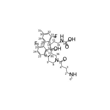 CNCCCC(=O)N1CCC[C@@H]([C@@](O)(CCCNC(=O)O)c2cccc(F)c2-c2cc(C)cc(F)c2)C1